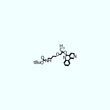 C[C@H](COCCCCNC(=O)OC(C)(C)C)Oc1nc2ccccc2c2cnccc12